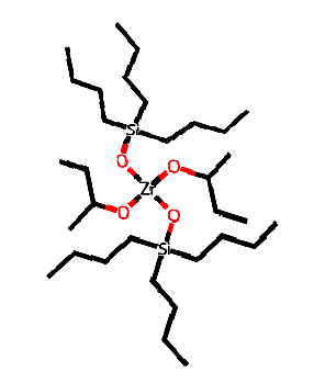 CCCC[Si](CCCC)(CCCC)[O][Zr]([O]C(C)CC)([O]C(C)CC)[O][Si](CCCC)(CCCC)CCCC